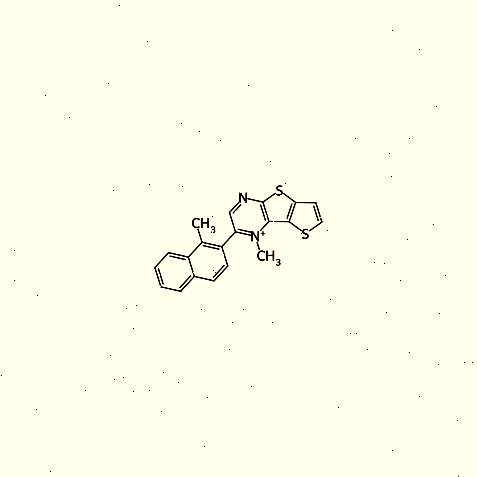 Cc1c(-c2cnc3sc4ccsc4c3[n+]2C)ccc2ccccc12